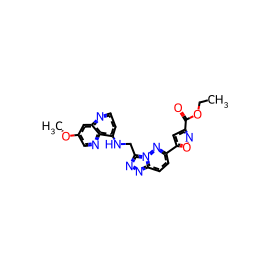 CCOC(=O)c1cc(-c2ccc3nnc(CNc4ccnc5cc(OC)cnc45)n3n2)on1